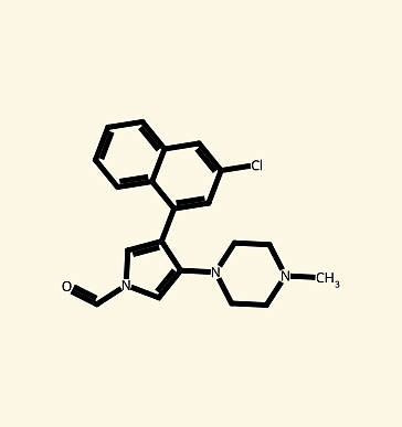 CN1CCN(c2cn(C=O)cc2-c2cc(Cl)cc3ccccc23)CC1